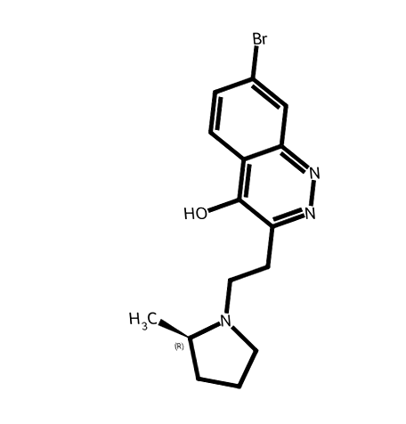 C[C@@H]1CCCN1CCc1nnc2cc(Br)ccc2c1O